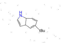 CC(C)(C)C1=CC2C=CNC2C=C1